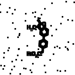 CCOC(=O)Cc1ccc(-c2ccc3oc(I)c(C)c3c2)cc1